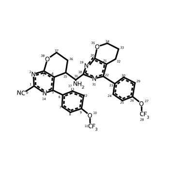 N#Cc1nc2c(c(-c3ccc(OC(F)(F)F)cc3)n1)C(C(N)c1nc3c(c(-c4ccc(OC(F)(F)F)cc4)n1)CCCO3)CCO2